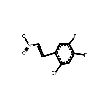 O=[N+]([O-])C=Cc1cc(F)c(F)cc1Cl